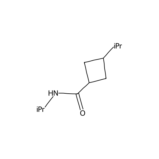 CC(C)NC(=O)C1CC(C(C)C)C1